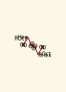 CCCCCCCCC1C(CCCCCC)CCC(CCCCCCCCn2c(=O)c3cc4c(=O)n(CCCCCCCCC5CCC(CCCCCC)C(CCCCCCCC)C5CCCCCCCCN5C(=O)C=CC5=O)c(=O)c4cc3c2=O)C1CCCCCCCCN1C(=O)C=CC1=O